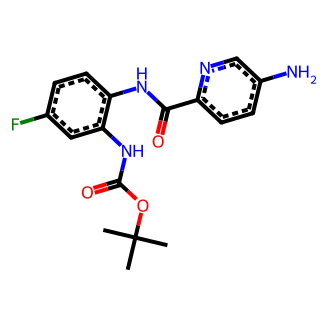 CC(C)(C)OC(=O)Nc1cc(F)ccc1NC(=O)c1ccc(N)cn1